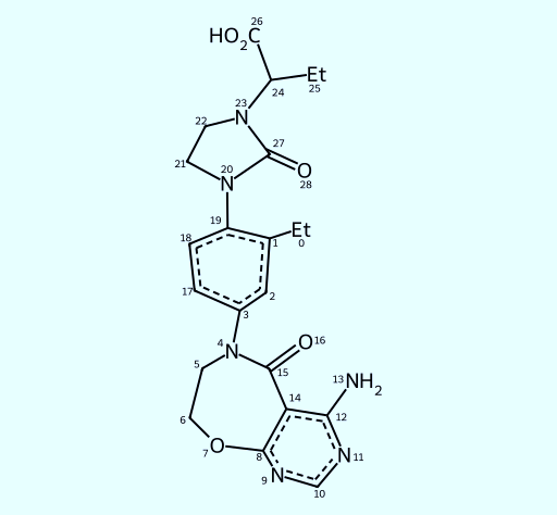 CCc1cc(N2CCOc3ncnc(N)c3C2=O)ccc1N1CCN(C(CC)C(=O)O)C1=O